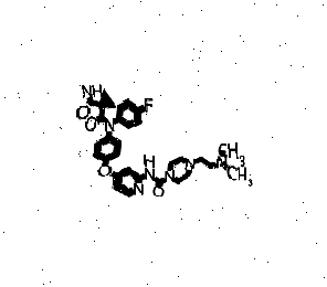 CN(C)CCN1CCN(C(=O)Nc2cc(Oc3ccc(N(C(=O)C4(C(N)=O)CC4)c4ccc(F)cc4)cc3)ccn2)CC1